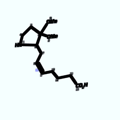 COC1(OC)CCNC1C/C=C\CCCC(=O)O